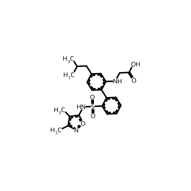 Cc1noc(NS(=O)(=O)c2ccccc2-c2ccc(CC(C)C)cc2NCC(=O)O)c1C